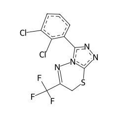 FC(F)(F)C1=Nn2c(nnc2-c2cccc(Cl)c2Cl)SC1